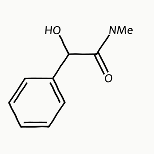 CNC(=O)C(O)c1ccccc1